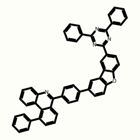 c1ccc(-c2nc(-c3ccccc3)nc(-c3ccc4oc5ccc(-c6ccc(-c7nc8ccccc8c8c(-c9ccccc9)cccc78)cc6)cc5c4c3)n2)cc1